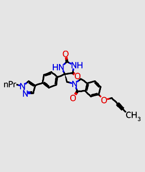 CC#CCOc1ccc2c(c1)C(=O)N(C[C@@]1(c3ccc(-c4cnn(CCC)c4)cc3)NC(=O)NC1=O)C2